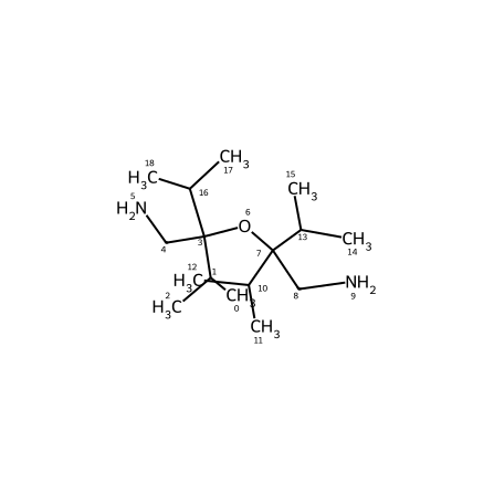 CC(C)C(CN)(OC(CN)(C(C)C)C(C)C)C(C)C